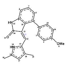 COc1ccc(-c2cccc3c2/C(=C/c2[nH]c(C)cc2C)C(=O)N3)cc1